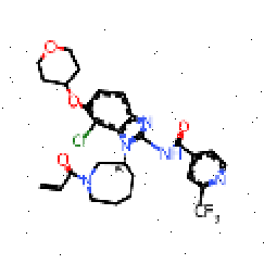 C=CC(=O)N1CCCC[C@@H](n2c(NC(=O)c3ccnc(C(F)(F)F)c3)nc3ccc(OC4CCOCC4)c(Cl)c32)C1